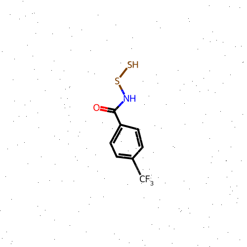 O=C(NSS)c1ccc(C(F)(F)F)cc1